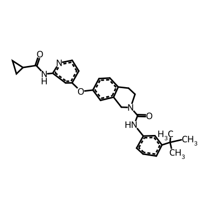 CC(C)(C)c1cccc(NC(=O)N2CCc3ccc(Oc4ccnc(NC(=O)C5CC5)c4)cc3C2)c1